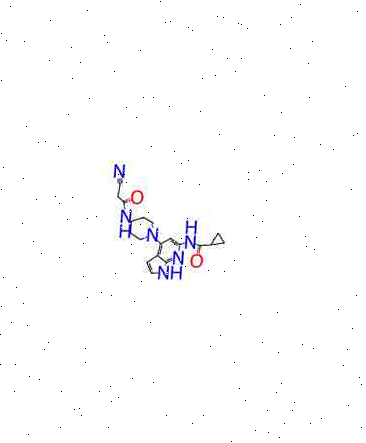 N#CCC(=O)NC1CCN(c2cc(NC(=O)C3CC3)nc3[nH]ccc23)CC1